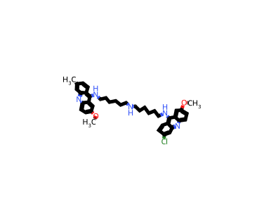 COc1ccc2nc3cc(C)ccc3c(NCCCCCCNCCCCCCNc3c4ccc(Cl)cc4nc4ccc(OC)cc34)c2c1